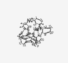 N#Cc1cccc(N(c2ccccc2)c2cc3c(c4ccccc24)C2(c4ccccc4-c4ccccc42)c2c-3c3ccccc3c3ccccc23)c1